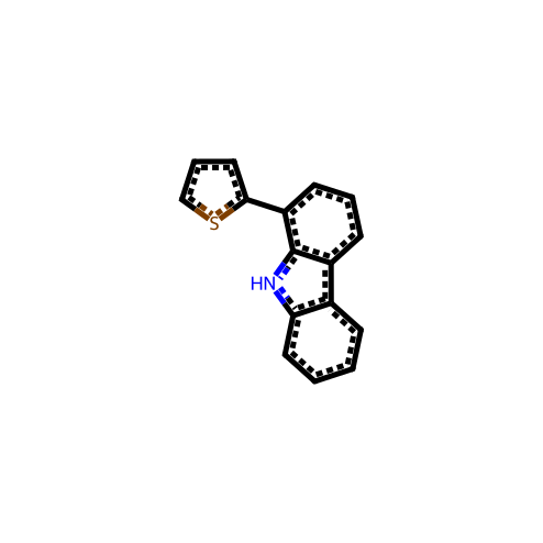 c1csc(-c2cccc3c2[nH]c2ccccc23)c1